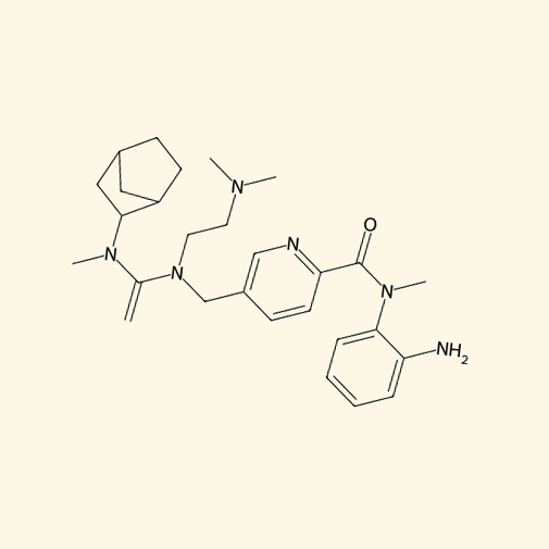 C=C(N(CCN(C)C)Cc1ccc(C(=O)N(C)c2ccccc2N)nc1)N(C)C1CC2CCC1C2